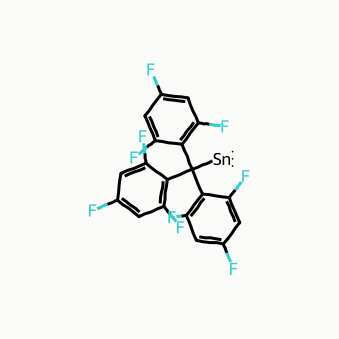 Fc1cc(F)c([C]([Sn])(c2c(F)cc(F)cc2F)c2c(F)cc(F)cc2F)c(F)c1